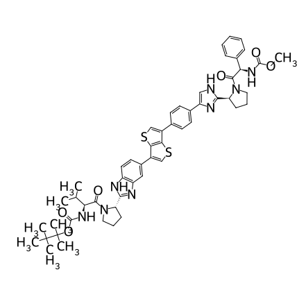 COC(=O)N[C@@H](C(=O)N1CCC[C@H]1c1nc(-c2ccc(-c3csc4c(-c5ccc6[nH]c([C@@H]7CCCN7C(=O)[C@@H](NC(=O)OC(C)(C)C(C)(C)C)C(C)C)nc6c5)csc34)cc2)c[nH]1)c1ccccc1